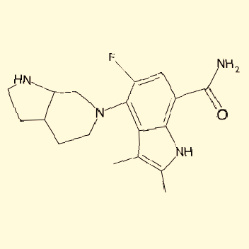 Cc1[nH]c2c(C(N)=O)cc(F)c(N3CCC4CCNC4C3)c2c1C